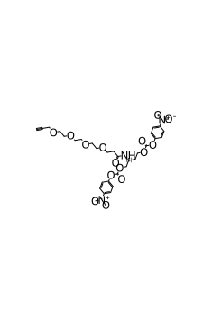 C#CCOCCOCCOCCOCCC(=O)N[C@@H](CCOC(=O)Oc1ccc([N+](=O)[O-])cc1)COC(=O)Oc1ccc([N+](=O)[O-])cc1